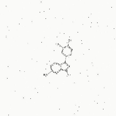 Cn1nc(-c2ccc(O)c(C(F)(F)F)c2)c2cnc(N)nc21